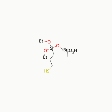 CC(=O)O.CCO[Si](CCCS)(OCC)OC(C)CC